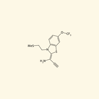 C#C/C(N)=C1\Sc2cc(OC(F)(F)F)ccc2N1CCSC